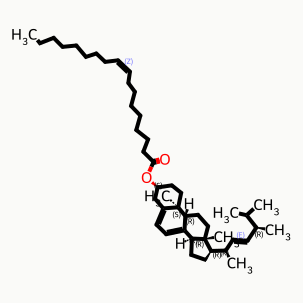 CCCCCCCC/C=C\CCCCCCCC(=O)O[C@H]1CC[C@]2(C)C(=CC=C3[C@H]2CC[C@]2(C)[C@@H]([C@H](C)/C=C/[C@H](C)C(C)C)CC[C@@H]32)C1